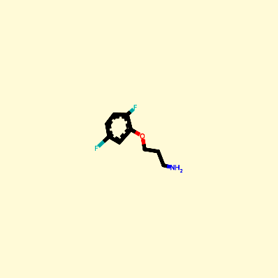 NCCCOc1cc(F)ccc1F